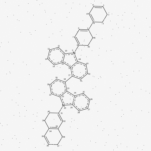 C1=CCCC(C2=CC=C(n3c4ccccc4c4c(-c5cccc6c5c5ccccc5n6C5=CC6=C(C=CCC6)CC5)cccc43)CC2)=C1